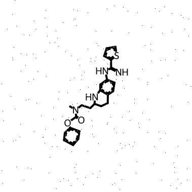 CN(CCC1CCc2ccc(NC(=N)c3cccs3)cc2N1)C(=O)Oc1ccccc1